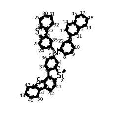 C[Si]1(C)c2cc(N(c3cccc(-c4ccc5ccccc5c4)c3)c3ccc4sc5ccccc5c4c3)ccc2-c2c1ccc1c2sc2ccccc21